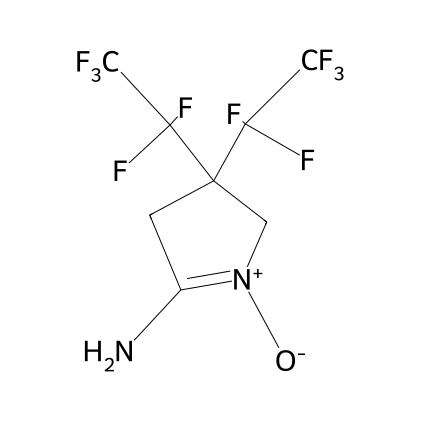 NC1=[N+]([O-])CC(C(F)(F)C(F)(F)F)(C(F)(F)C(F)(F)F)C1